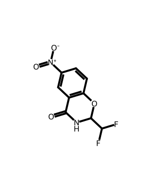 O=C1NC(C(F)F)Oc2ccc([N+](=O)[O-])cc21